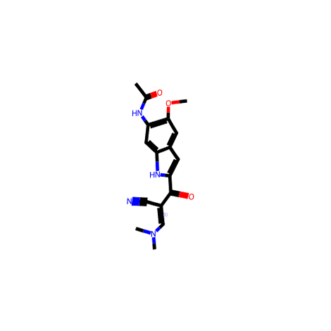 COc1cc2cc(C(=O)/C(C#N)=C/N(C)C)[nH]c2cc1NC(C)=O